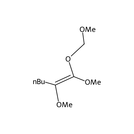 CCCCC(OC)=C(OC)OCOC